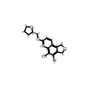 Clc1c(Br)c2c(c3ccc(OC[C@H]4CCCO4)nc13)COC2